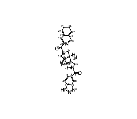 O=C(c1ccc2[nH]nnc2c1)N1C[C@@H]2[C@H](C1)[C@H]1CN(C(=O)c3cc4ccccc4cn3)C[C@@H]21